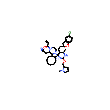 C=CC(=O)N1CCN(C2(C3CCCCCCC3)NC(OCC3CCCN3C)NC3C[C@]4(CCC32)Cc2cc(Cl)ccc2O4)CC1CC#N